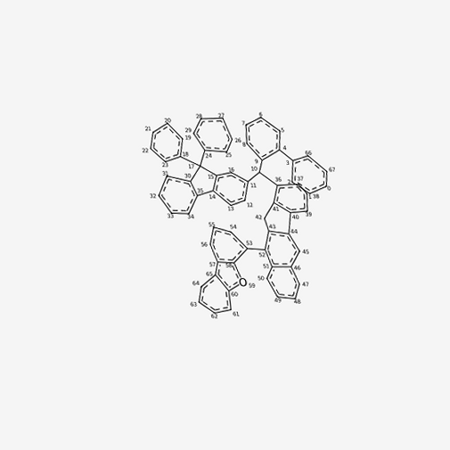 c1ccc(-c2ccccc2C(c2ccc3c(c2)C(c2ccccc2)(c2ccccc2)c2ccccc2-3)c2cccc3c2Cc2c-3cc3ccccc3c2-c2cccc3c2oc2ccccc23)cc1